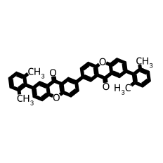 Cc1cccc(C)c1-c1ccc2oc3ccc(-c4ccc5oc6ccc(-c7c(C)cccc7C)cc6c(=O)c5c4)cc3c(=O)c2c1